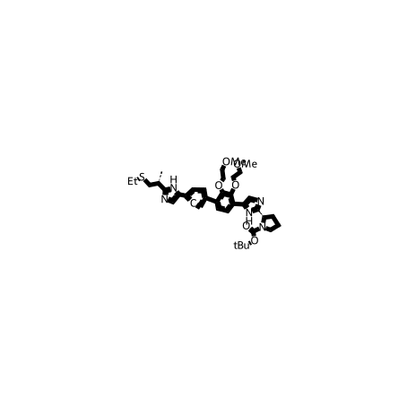 CCSC[C@H](C)c1ncc(-c2ccc(-c3ccc(-c4cnc([C@@H]5CCCN5C(=O)OC(C)(C)C)[nH]4)c(OCCOC)c3OCCOC)cc2)[nH]1